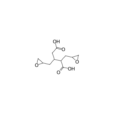 O=C(O)CC(CC1CO1)C(CC1CO1)C(=O)O